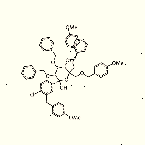 COc1ccc(COCC2(COCc3ccc(OC)cc3)OC(O)(c3ccc(Cl)c(Cc4ccc(OC)cc4)c3)C(OCc3ccccc3)[C@@H](OCc3ccccc3)[C@@H]2OCc2ccccc2)cc1